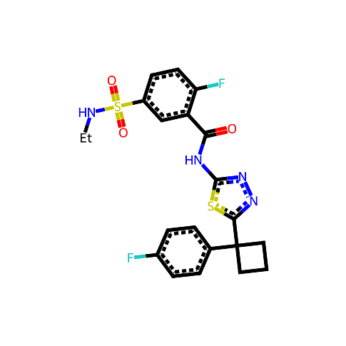 CCNS(=O)(=O)c1ccc(F)c(C(=O)Nc2nnc(C3(c4ccc(F)cc4)CCC3)s2)c1